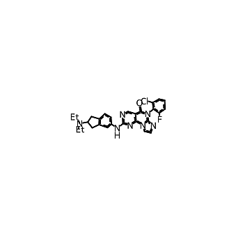 CCN(CC)C1Cc2ccc(Nc3ncc4c(=O)n(-c5c(F)cccc5Cl)c5nccn5c4n3)cc2C1